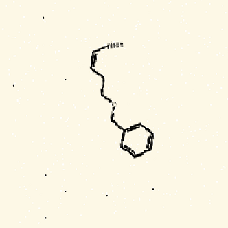 CCCCCC/C=C\CCOCc1ccccc1